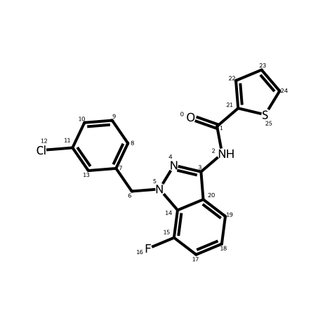 O=C(Nc1nn(Cc2cccc(Cl)c2)c2c(F)cccc12)c1cccs1